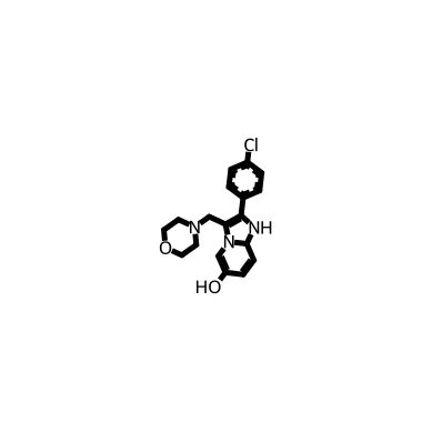 OC1=CN2C(CN3CCOCC3)=C(c3ccc(Cl)cc3)NC2C=C1